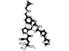 CC(C)(C)C=C(C#N)C(=O)N1CCCC1Cn1c(NC(=O)c2ccc(-c3cnco3)s2)nc2cc(CNCC3CC3)ccc21